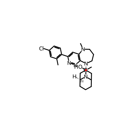 CB(O)N1C2CCC[C@H]1C[C@H](N1CCCN(C)c3cc(-c4ccc(Cl)cc4C)nnc31)C2